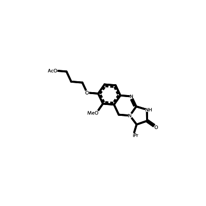 COc1c(OCCCOC(C)=O)ccc2c1CN1C(=N2)NC(=O)C1C(C)C